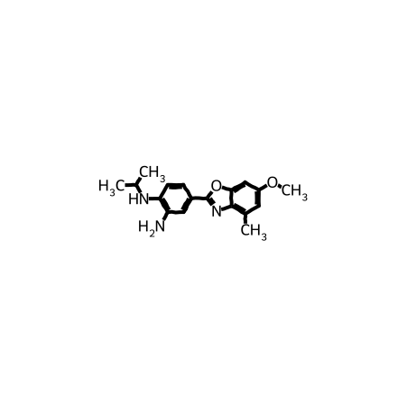 COc1cc(C)c2nc(-c3ccc(NC(C)C)c(N)c3)oc2c1